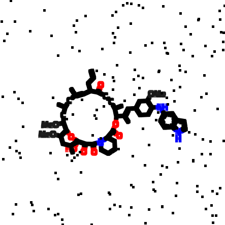 C=CCC1/C=C(\C)CC(C)CC(OC)C2OC(O)(C(=O)C(=O)N3CCCCC3C(=O)OC(C(C)=CC3CCC(Nc4ccc5[nH]ccc5c4)C(OC)C3)C(C)CCC1=O)C(C)CC2OC